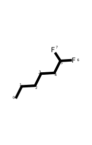 CCC[CH]CC(F)F